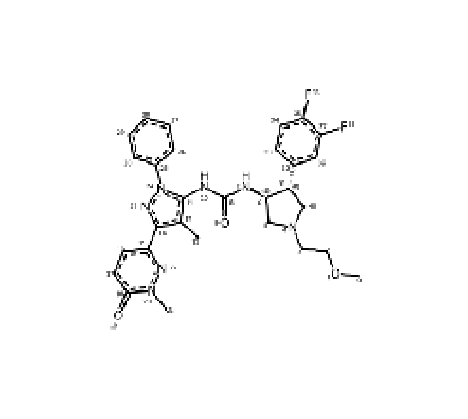 COCCN1C[C@@H](NC(=O)Nc2c(C)c(-c3ccc(=O)n(C)n3)nn2-c2ccccc2)[C@H](c2ccc(F)c(F)c2)C1